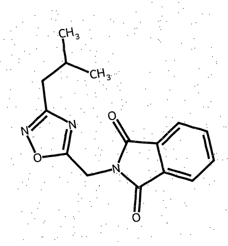 CC(C)Cc1noc(CN2C(=O)c3ccccc3C2=O)n1